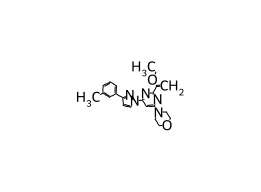 C=C(OCC)c1nc(N2CCOCC2)cc(-n2ccc(-c3cccc(C)c3)n2)n1